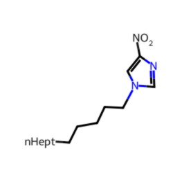 CCCCCCCCCCCCn1cnc([N+](=O)[O-])c1